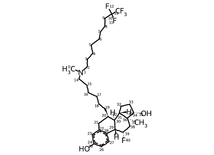 CN(CCCCCCCCC(F)(F)C(F)(F)F)CCCCCC[C@@H]1Cc2cc(O)ccc2[C@@H]2[C@@H]1[C@@H]1CC[C@H](O)[C@@]1(C)C[C@@H]2F